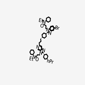 CCC[C@H]1CC[C@H](c2nc3cc(CCC[C@H]4CC[C@H](c5nc6cc(Br)ccc6n5CCC(=O)N(CC)C5CCCCC5)CC4)ncc3n2CCC(=O)N(CC)C2CCCCC2)CC1